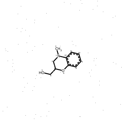 CN1CC(CO)Oc2ccccc21